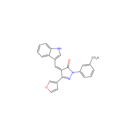 O=C(O)c1cccc(N2N=C(c3ccoc3)C(=Cc3c[nH]c4ccccc34)C2=O)c1